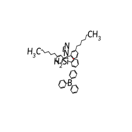 CCCCCCc1cccc(C([SiH2]c2ccccc2)(c2cccc(CCCCCC)c2)n2ccnc2)c1.c1ccc(B(c2ccccc2)c2ccccc2)cc1